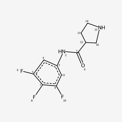 O=C(Nc1cc(F)c(F)c(F)c1)C1CCNC1